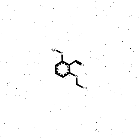 CCOc1cccc(OC)c1C=O